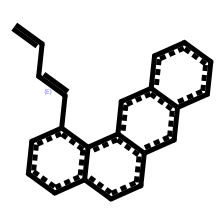 C=C/C=C/c1cccc2ccc3cc4ccccc4cc3c12